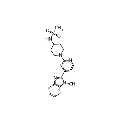 Cn1c(-c2ccnc(N3CCC(NS(C)(=O)=O)CC3)n2)nc2ccccc21